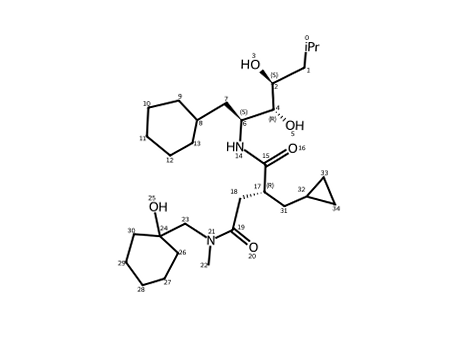 CC(C)C[C@H](O)[C@H](O)[C@H](CC1CCCCC1)NC(=O)[C@@H](CC(=O)N(C)CC1(O)CCCCC1)CC1CC1